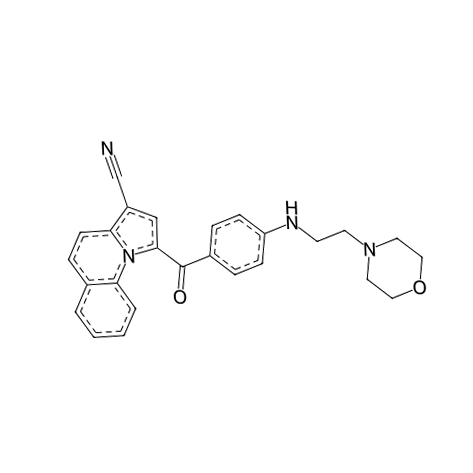 N#Cc1cc(C(=O)c2ccc(NCCN3CCOCC3)cc2)n2c1ccc1ccccc12